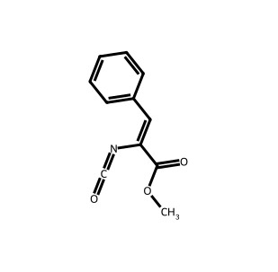 COC(=O)C(=Cc1ccccc1)N=C=O